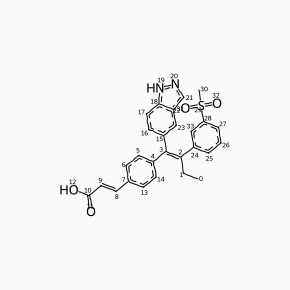 CCC(=C(c1ccc(C=CC(=O)O)cc1)c1ccc2[nH]ncc2c1)c1cccc(S(C)(=O)=O)c1